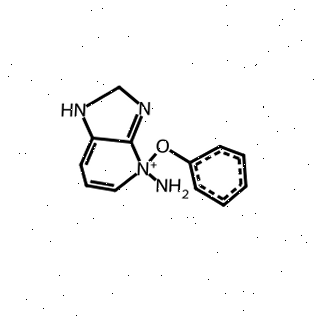 N[N+]1(Oc2ccccc2)C=CC=C2NCN=C21